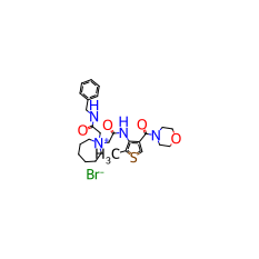 Cc1scc(C(=O)N2CCOCC2)c1NC(=O)C[N+]1(CC(=O)NCc2ccccc2)CCCCCC1.[Br-]